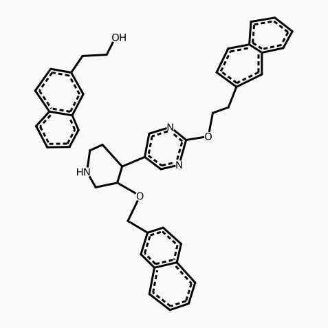 OCCc1ccc2ccccc2c1.c1ccc2cc(CCOc3ncc(C4CCNCC4OCc4ccc5ccccc5c4)cn3)ccc2c1